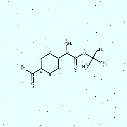 CC(C)(C)OC(=O)C(N)C1CCC(C(=O)O)CC1